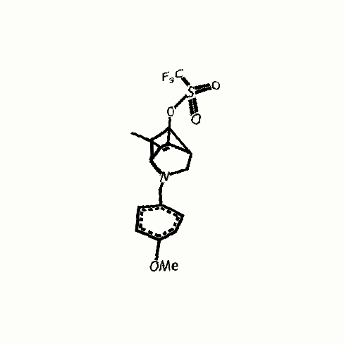 COc1ccc(N2CC3CCC2C(C)=C3OS(=O)(=O)C(F)(F)F)cc1